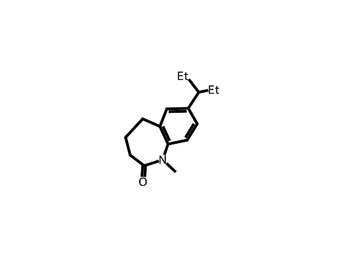 CCC(CC)c1ccc2c(c1)CCCC(=O)N2C